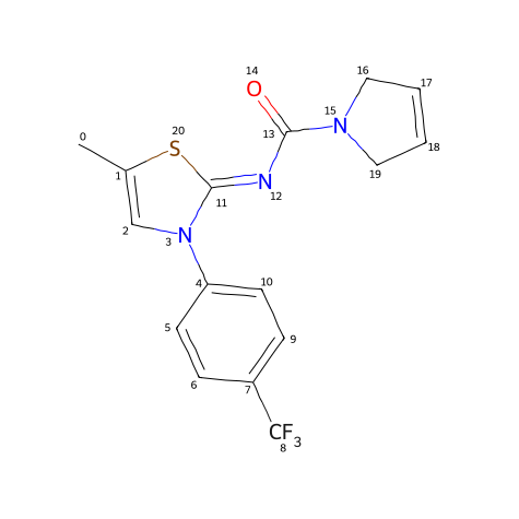 Cc1cn(-c2ccc(C(F)(F)F)cc2)c(=NC(=O)N2CC=CC2)s1